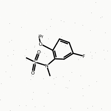 CC(C)Oc1ccc(F)cc1N(C)S(C)(=O)=O